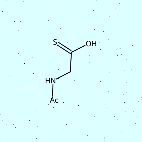 CC(=O)NCC(O)=S